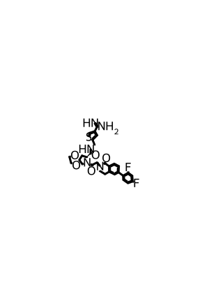 N=C(N)c1csc(CNC(=O)[C@@H]2CC3(CN2C(=O)CN2CCc4cc(-c5ccc(F)cc5F)ccc4C2=O)OCCO3)c1